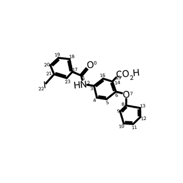 O=C(Nc1ccc(Oc2ccccc2)c(C(=O)O)c1)c1cccc(I)c1